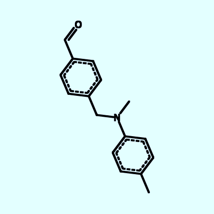 Cc1ccc(N(C)Cc2ccc(C=O)cc2)cc1